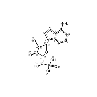 Nc1ncnc2c1ncn2[C@@H]1O[C@H](C(O)P(=O)(O)O)[C@@H](O)[C@H]1O